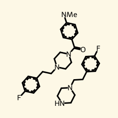 CNc1ccc(C(=O)N2CCN(CCc3ccc(F)cc3)CC2)cc1.Fc1ccc(CCN2CCNCC2)cc1